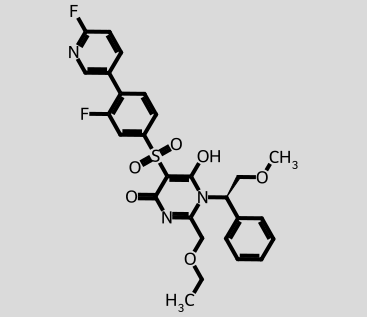 CCOCc1nc(=O)c(S(=O)(=O)c2ccc(-c3ccc(F)nc3)c(F)c2)c(O)n1[C@@H](COC)c1ccccc1